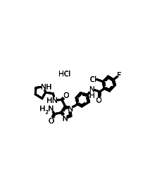 Cl.NC(=O)c1ncn(-c2ccc(NC(=O)c3ccc(F)cc3Cl)cc2)c1C(=O)NCC1CCCN1